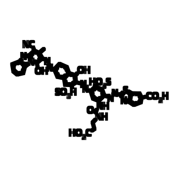 Cc1c(N=Nc2ccc3c(O)c(N=Nc4cc(NC(=O)NCCC(=O)O)c(N=Nc5nc6ccc(C(=O)O)cc6s5)cc4S(=O)(=O)O)c(S(=O)(=O)O)cc3c2)c(O)n2c(nc3ccccc32)c1C#N